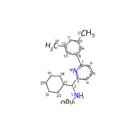 CCCCNC(c1cccc(-c2cc(C)cc(C)c2)n1)C1CCCCC1